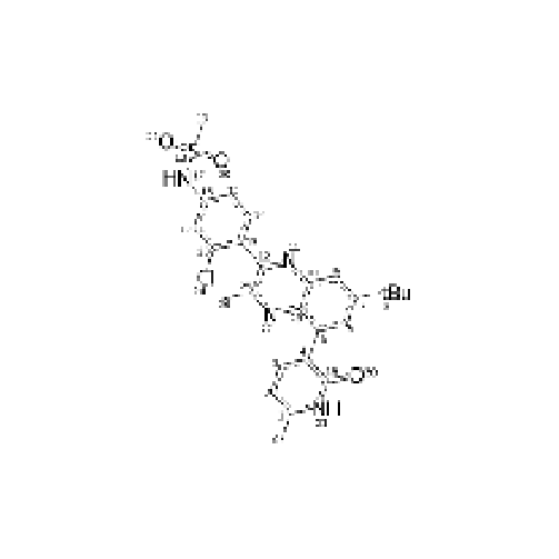 Cc1ccc(-c2cc(C(C)(C)C)cc3nc(-c4ccc(NS(C)(=O)=O)cc4Cl)c(C)nc23)c(=O)[nH]1